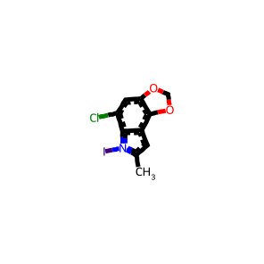 Cc1cc2c3c(cc(Cl)c2n1I)OCO3